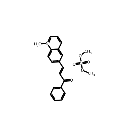 COS(=O)(=O)OC.C[n+]1cccc2cc(/C=C/C(=O)c3ccccc3)ccc21